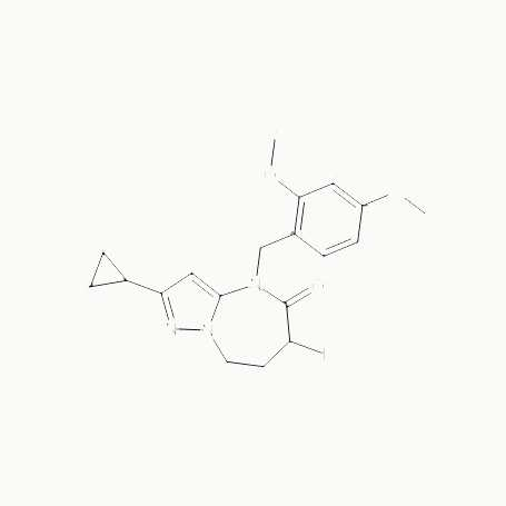 COc1ccc(CN2C(=O)C(I)CCn3nc(C4CC4)cc32)c(OC)c1